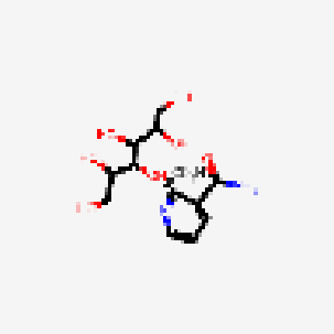 CC(=O)O.NC(=O)c1cccnc1.OCC(O)C(O)C(O)C(O)CO